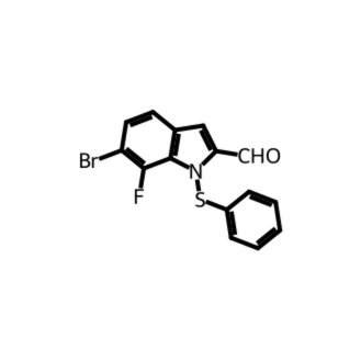 O=Cc1cc2ccc(Br)c(F)c2n1Sc1ccccc1